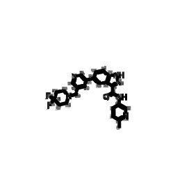 Cc1ccc(NC(=O)c2n[nH]c3ccc(-c4cncc(CN5CCC(F)(F)CC5)c4)cc23)cn1